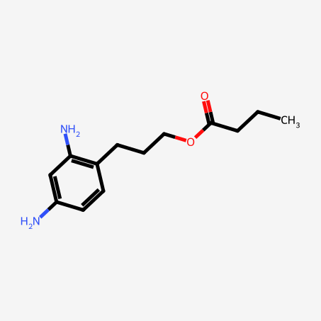 CCCC(=O)OCCCc1ccc(N)cc1N